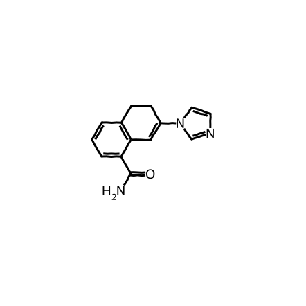 NC(=O)c1cccc2c1C=C(n1ccnc1)CC2